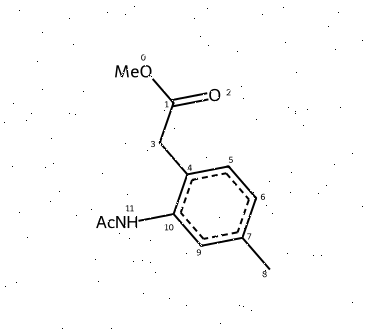 COC(=O)Cc1ccc(C)cc1NC(C)=O